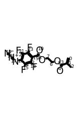 C=C(C)C(=O)OCCOC(=O)c1c(F)c(F)c(N=[N+]=[N-])c(F)c1F